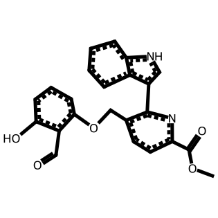 COC(=O)c1ccc(COc2cccc(O)c2C=O)c(-c2c[nH]c3ccccc23)n1